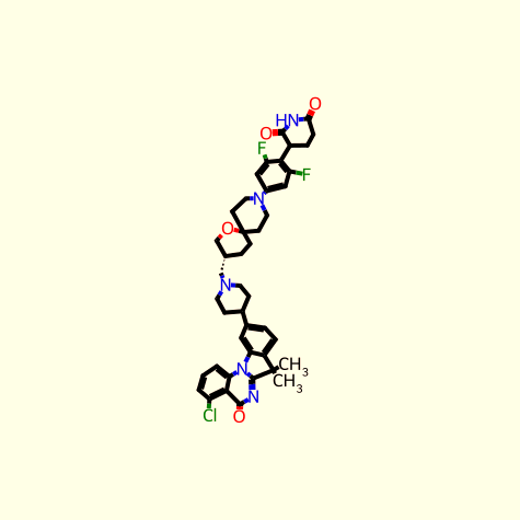 CC1(C)c2ccc(C3CCN(C[C@H]4CCC5(CCN(c6cc(F)c(C7CCC(=O)NC7=O)c(F)c6)CC5)OC4)CC3)cc2-n2c1nc(=O)c1c(Cl)cccc12